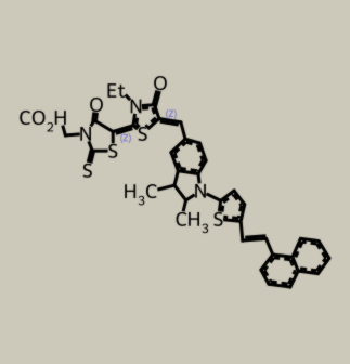 CCn1c(=O)/c(=C/c2ccc3c(c2)C(C)C(C)N3c2ccc(C=Cc3cccc4ccccc34)s2)s/c1=C1\SC(=S)N(CC(=O)O)C1=O